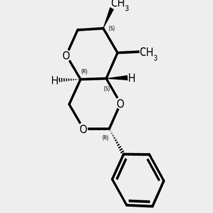 CC1[C@H](C)CO[C@@H]2CO[C@@H](c3ccccc3)O[C@@H]12